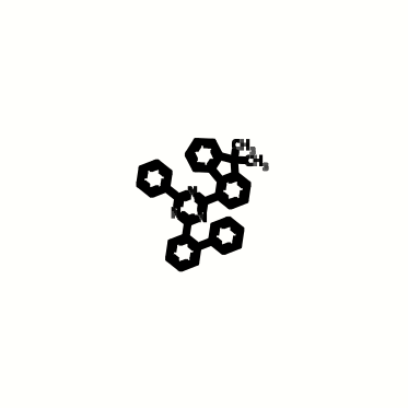 CC1(C)c2ccccc2-c2c(-c3nc(-c4ccccc4)nc(-c4ccccc4-c4ccccc4)n3)cccc21